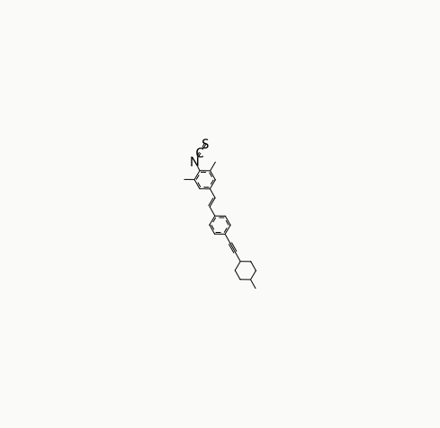 Cc1cc(/C=C/c2ccc(C#CC3CCC(C)CC3)cc2)cc(C)c1N=C=S